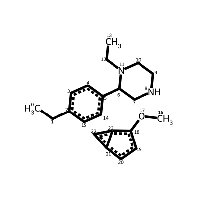 CCc1ccc(C2CNCCN2CC)cc1.COc1ccc2cc1-2